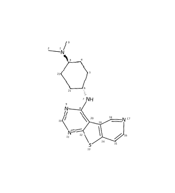 CN(C)[C@H]1CC[C@H](Nc2ncnc3sc4ccncc4c23)CC1